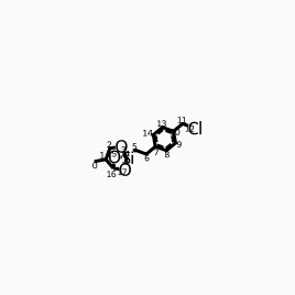 CC1CO[Si]2(CCc3ccc(CCl)cc3)OC1O2